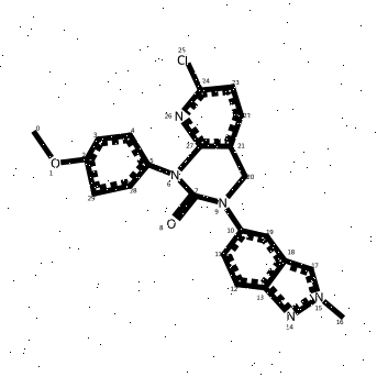 COc1ccc(N2C(=O)N(c3ccc4nn(C)cc4c3)Cc3ccc(Cl)nc32)cc1